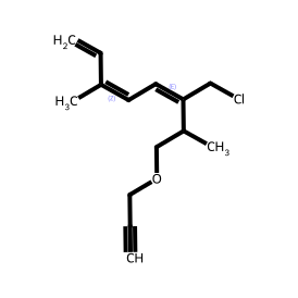 C#CCOCC(C)/C(=C\C=C(\C)C=C)CCl